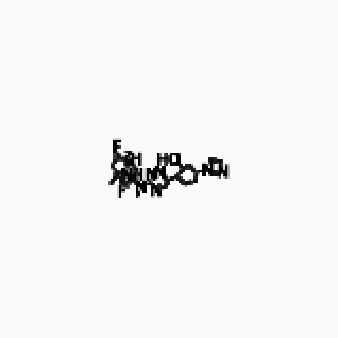 [2H][C@]12C[C@@H](N(C)c3ncc(-c4ccc(-n5ccnc5)cc4O)nn3)[C@H](F)[C@](C)(C[C@H]1F)N2